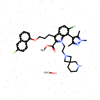 Cc1nn(C)c(C)c1-c1c(Cl)ccc2c(CCCOc3cccc4cc(F)ccc34)c(C(=O)OC(C)(C)C)n(CCN3CC4(CCCNC4)C3)c12.O=CO